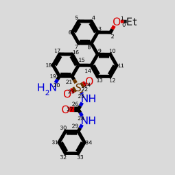 CCOCc1ccccc1-c1ccccc1-c1cccc(N)c1S(=O)(=O)NC(=O)Nc1ccccc1